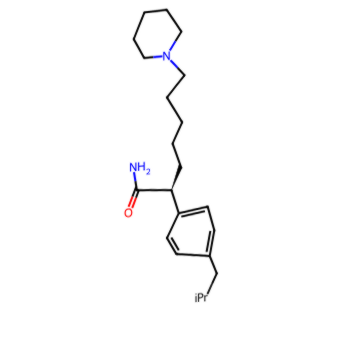 CC(C)Cc1ccc([C@H](CCCCCN2CCCCC2)C(N)=O)cc1